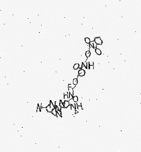 N#Cc1cnc2c(cnn2-c2cc(NC3CC3)c(C(=O)NCC(F)COCCOC(=O)NCCOCCN3C(=O)c4ccccc4C3=O)cn2)c1